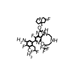 Cc1c(F)c(N)cc(-c2nc3c4c(nc(OC[C@@]56CCCN5C[C@H](F)C6)nc4c2F)NCCNCC[C@H](C(F)(F)F)O3)c1CC(F)F